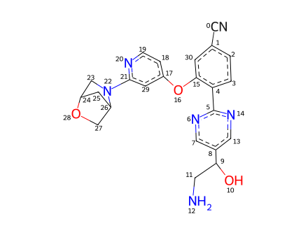 N#Cc1ccc(-c2ncc(C(O)CN)cn2)c(Oc2ccnc(N3CC4CC3CO4)c2)c1